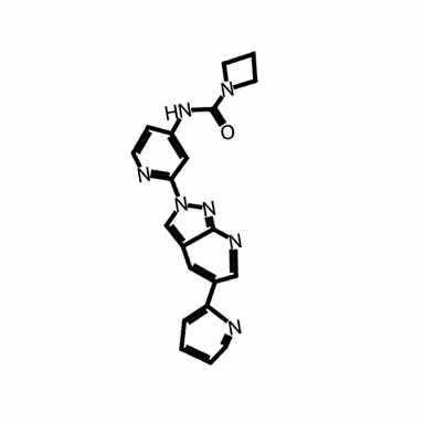 O=C(Nc1ccnc(-n2cc3cc(-c4ccccn4)cnc3n2)c1)N1CCC1